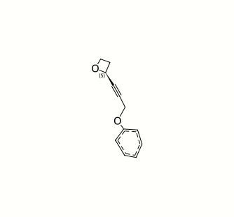 C(#C[C@@H]1CCO1)COc1ccccc1